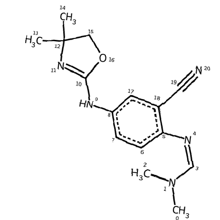 CN(C)/C=N\c1ccc(NC2=NC(C)(C)CO2)cc1C#N